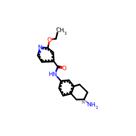 CCOc1cc(C(=O)Nc2ccc3c(c2)CC[C@H](N)C3)ccn1